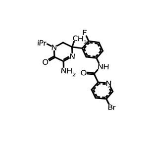 CC(C)N1CC(C)(c2cc(NC(=O)c3ccc(Br)cn3)ccc2F)N=C(N)C1=O